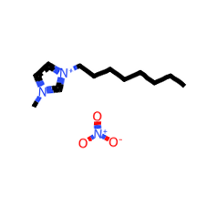 CCCCCCCC[n+]1ccn(C)c1.O=[N+]([O-])[O-]